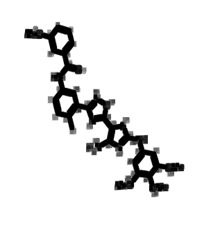 COc1cccc(C(=O)Nc2ccc(C)c(-c3noc(-c4sc(Nc5cc(OC)c(OC)c(OC)c5)nc4N)n3)c2)c1